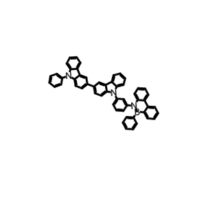 c1ccc(B2c3ccccc3-c3ccccc3N2c2cccc(-n3c4ccccc4c4cc(-c5ccc6c(c5)c5ccccc5n6-c5ccccc5)ccc43)c2)cc1